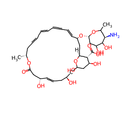 CC1O[C@@H](O[C@H]2/C=C/C=C/C=C/C=C/C[C@@H](C)OC(=O)C[C@@H](O)/C=C/C[C@H](O)C[C@]3(O)C[C@H](O)[C@@H](C(=O)O)[C@H](C2)O3)CC(O)C(O)[C@@H]1N